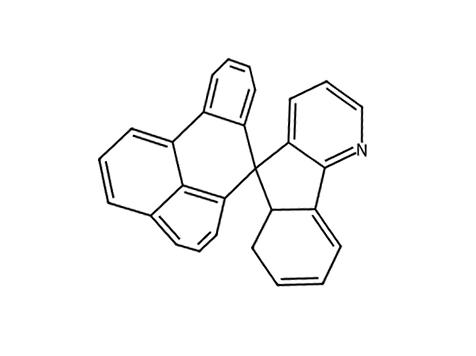 C1=CCC2C(=C1)c1ncccc1C21c2ccccc2-c2cccc3cccc1c23